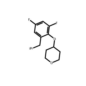 CC(C)Cc1cc(F)cc(F)c1OC1CCOCC1